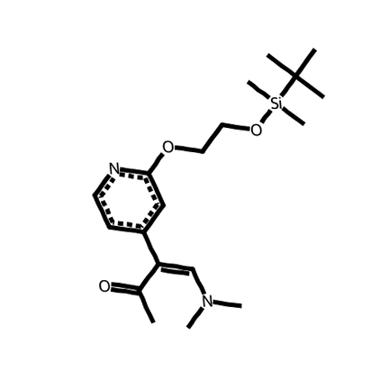 CC(=O)/C(=C\N(C)C)c1ccnc(OCCO[Si](C)(C)C(C)(C)C)c1